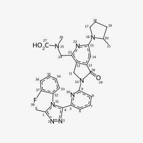 Cc1nnc(-c2cccc(N3Cc4c(cc(N5CCCC5C)nc4CN(C)C(=O)O)C3=O)n2)n1-c1ccccc1F